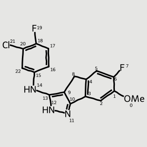 COc1cc2c(cc1F)Cc1c-2n[nH]c1Nc1ccc(F)c(Cl)c1